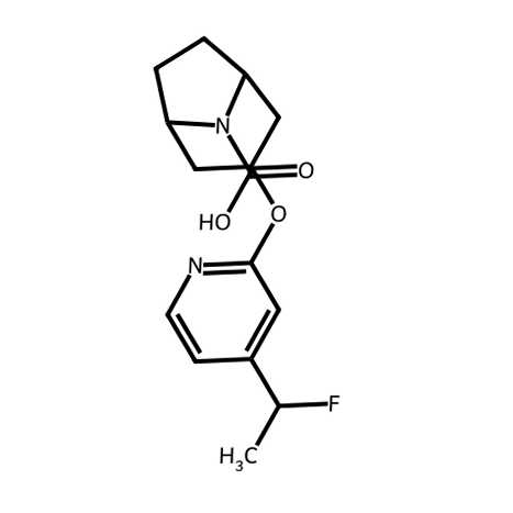 CC(F)c1ccnc(OC2CC3CCC(C2)N3C(=O)O)c1